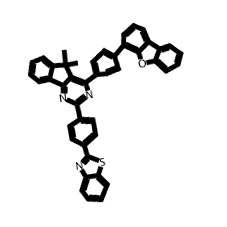 CC1(C)c2ccccc2-c2nc(-c3ccc(-c4nc5ccccc5s4)cc3)nc(-c3ccc(-c4cccc5c4oc4ccccc45)cc3)c21